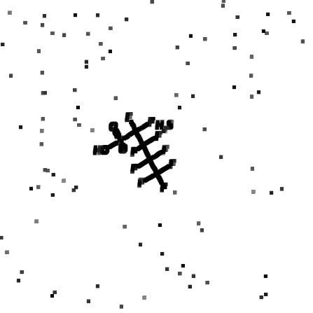 O=S(=O)(O)C(F)(F)C(F)(F)C(F)(F)C(F)(F)F.S